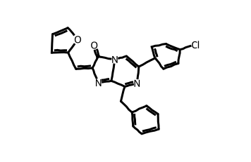 O=C1C(=Cc2ccco2)N=C2C(Cc3ccccc3)=NC(c3ccc(Cl)cc3)=CN12